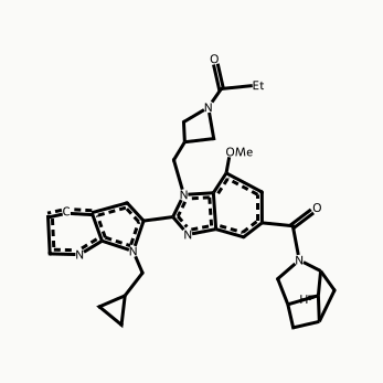 CCC(=O)N1CC(Cn2c(-c3cc4cccnc4n3CC3CC3)nc3cc(C(=O)N4CC5CC6CC4[C@H]65)cc(OC)c32)C1